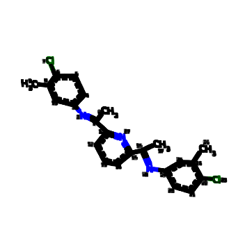 C/C(=N\c1ccc(Cl)c(C)c1)c1cccc(/C(C)=N/c2ccc(Cl)c(C)c2)n1